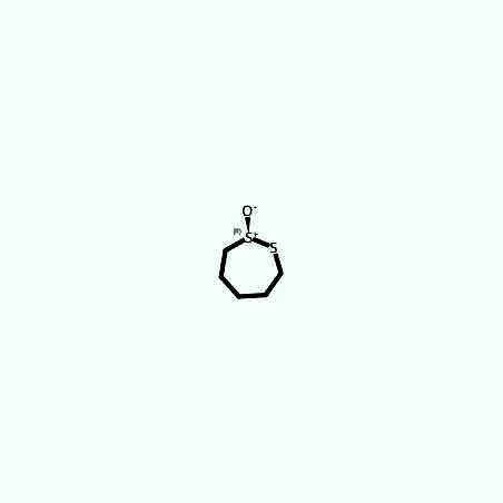 [O-][S@+]1CCCCCS1